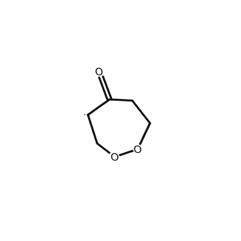 O=C1[CH]COOCC1